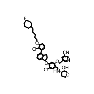 N#Cc1cncc(COc2cc(O[C@H]3CCc4c(-c5cccc(OCCCCCC6CCCC(F)CC6)c5Cl)cccc43)c(Cl)cc2CN[C@H]2CCOC[C@H]2O)c1